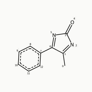 CC1=NC(=O)N=C1c1ccccc1